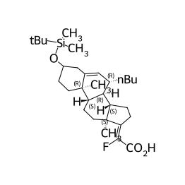 CCCC[C@H]1C=C2CC(O[Si](C)(C)C(C)(C)C)CC[C@]2(C)[C@H]2CC[C@]3(C)C(=C(F)C(=O)O)CC[C@H]3[C@H]12